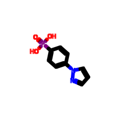 O=P(O)(O)c1ccc(-n2cccn2)cc1